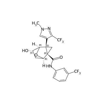 Cn1cc([C@@]23C[C@]2(C(=O)Nc2cccc(C(F)(F)F)c2)[C@H]2C[C@H](O)[C@@H]3O2)c(C(F)(F)F)n1